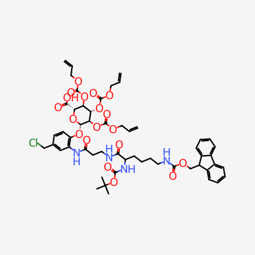 C=CCOC(=O)O[C@@H]1[C@@H](OC(=O)OCC=C)[C@H](Oc2ccc(CCl)cc2NC(=O)CCNC(=O)C(CCCCNC(=O)OCC2c3ccccc3-c3ccccc32)NC(=O)OC(C)(C)C)O[C@H](C(=O)O)[C@H]1OC(=O)OCC=C